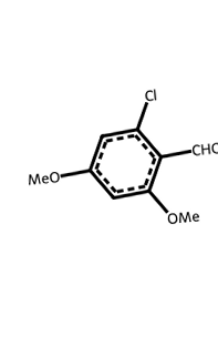 COc1cc(Cl)c(C=O)c(OC)c1